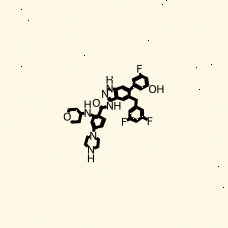 O=C(Nc1n[nH]c2cc(-c3cc(O)cc(F)c3)c(Cc3cc(F)cc(F)c3)cc12)c1ccc(N2CCNCC2)cc1NC1CCOCC1